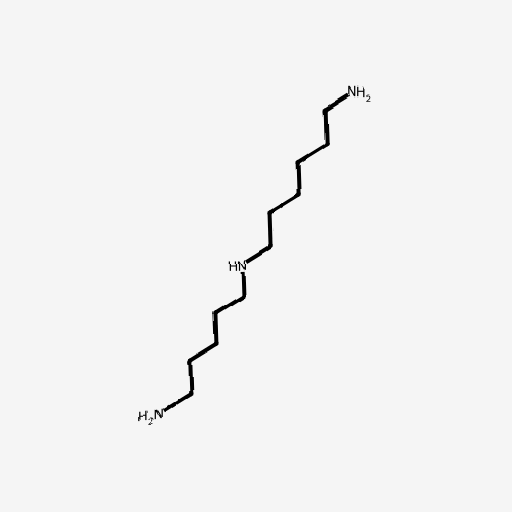 NCCCCCCNCCCCCN